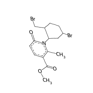 COC(=O)c1ccc(=O)n(C2CC(Br)CCC2CBr)c1C